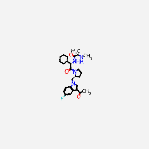 CN[C@@H](C)C(=O)N[C@H](C(=O)N1CCC[C@H]1Cn1cc(C(C)=O)c2cc(F)ccc21)C1CCCCC1